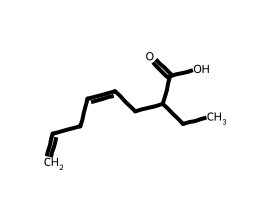 C=CC/C=C\CC(CC)C(=O)O